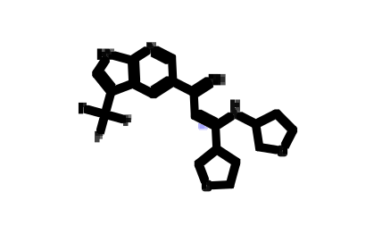 N=C(/C=C(\NC1CCOC1)C1CCOC1)c1cnc2[nH]cc(C(F)(F)F)c2c1